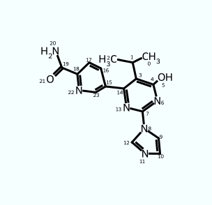 CC(C)c1c(O)nc(-n2ccnc2)nc1-c1ccc(C(N)=O)nc1